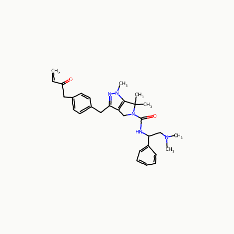 C=CC(=O)Cc1ccc(Cc2nn(C)c3c2CN(C(=O)NC(CN(C)C)c2ccccc2)C3(C)C)cc1